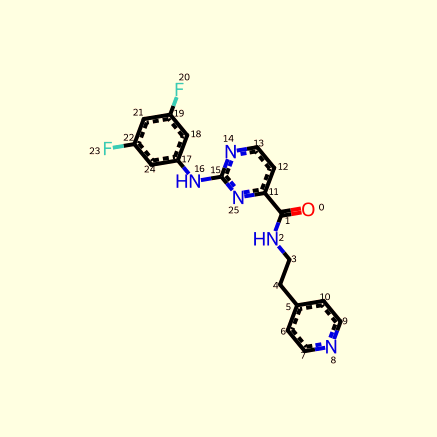 O=C(NCCc1ccncc1)c1ccnc(Nc2cc(F)cc(F)c2)n1